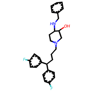 OC1CN(CCCC(c2ccc(F)cc2)c2ccc(F)cc2)CCC1NCc1ccccc1